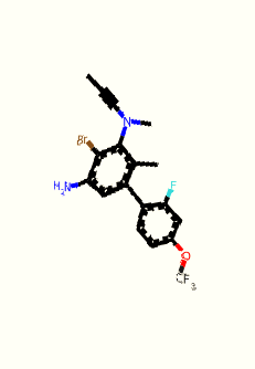 CC#CN(C)c1c(C)c(-c2ccc(OC(F)(F)F)cc2F)cc(N)c1Br